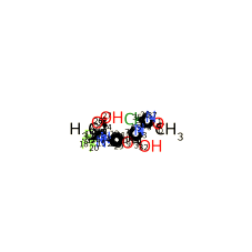 COC1CC(N2CC[C@@H](Oc3ccc(N4N=C(C(F)(F)F)[C@@H](C)[C@@H]4CC(=O)O)cc3)[C@H](CO)C2)=C(Cl)C=N1